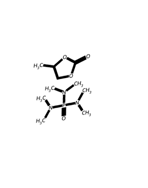 CC1COC(=O)O1.CN(C)P(=O)(N(C)C)N(C)C